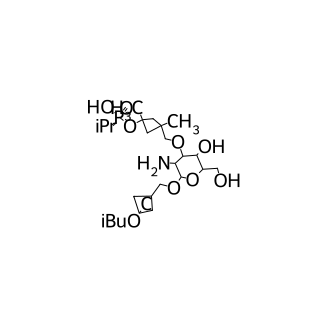 CC(C)COC12CC(COC3OC(CO)C(O)C(OCC4(C)CC(C)(OP(=O)(O)C(C)C)C4)C3N)(C1)C2